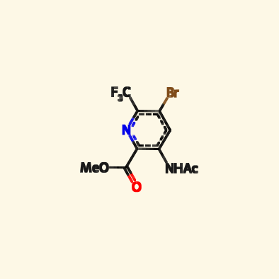 COC(=O)c1nc(C(F)(F)F)c(Br)cc1NC(C)=O